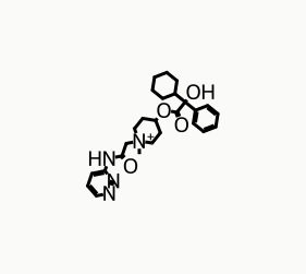 C[N+]1(CC(=O)Nc2cccnn2)CCC(OC(=O)C(O)(c2ccccc2)C2CCCCC2)CC1